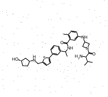 Cc1ccc(NC2CN(C(=O)C(N)C(C)C)C2)cc1C(=O)NC(C)c1cccc(-c2ccc(CN[C@H]3CC[C@@H](O)C3)s2)c1